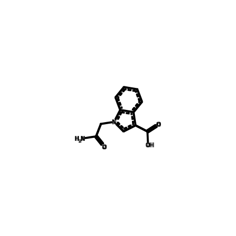 NC(=O)Cn1cc(C(=O)O)c2ccccc21